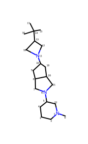 CN1CCCC(N2CC3CC(N4CC(C(C)(C)C)C4)CC3C2)C1